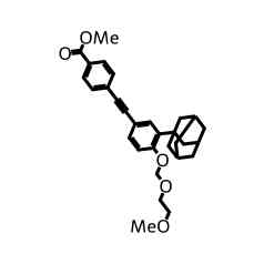 COCCOCOc1ccc(C#Cc2ccc(C(=O)OC)cc2)cc1C12CC3CC(CC(C3)C1)C2